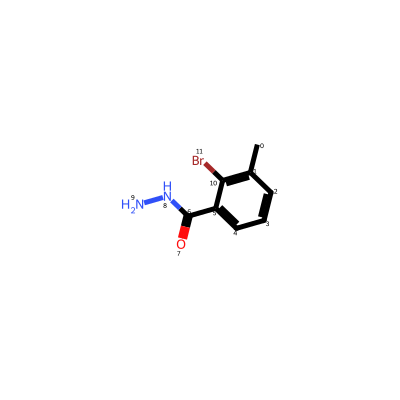 Cc1cccc(C(=O)NN)c1Br